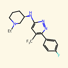 CCN1CCC[C@@H](Nc2cc(C(F)(F)F)c(-c3ccc(F)cc3)nn2)C1